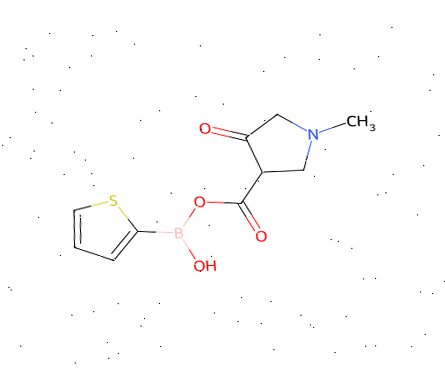 CN1CC(=O)C(C(=O)OB(O)c2cccs2)C1